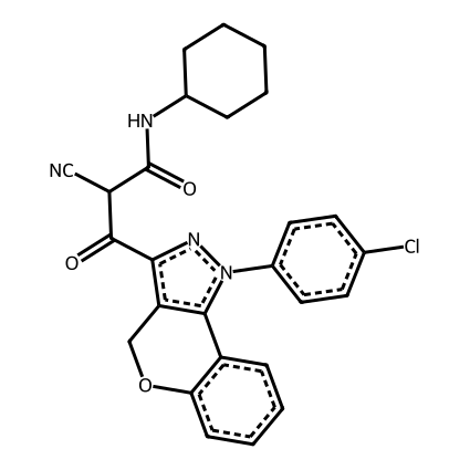 N#CC(C(=O)NC1CCCCC1)C(=O)c1nn(-c2ccc(Cl)cc2)c2c1COc1ccccc1-2